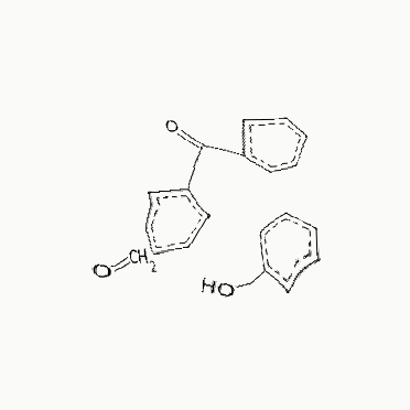 C=O.O=C(c1ccccc1)c1ccccc1.Oc1ccccc1